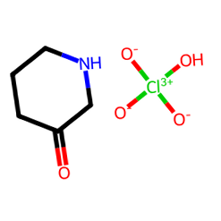 O=C1CCCNC1.[O-][Cl+3]([O-])([O-])O